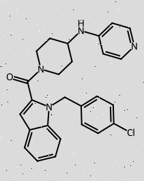 O=C(c1cc2ccccc2n1Cc1ccc(Cl)cc1)N1CCC(Nc2ccncc2)CC1